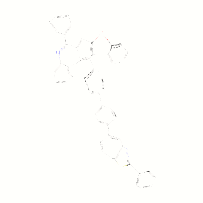 c1ccc(-c2nc3cc(-c4ccc(-c5ccc(-c6c7c(cc8c(-c9ccccc9)nc9ccccc9c68)oc6ccccc67)cc5)cc4)ccc3s2)cc1